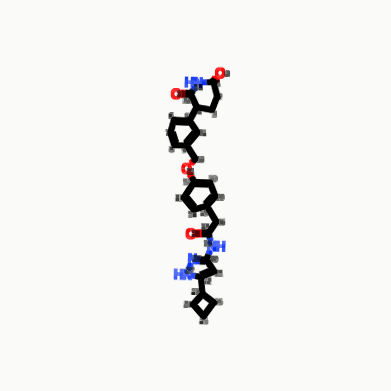 O=C1CCC(c2cccc(COc3ccc(CC(=O)Nc4cc(C5CCC5)[nH]n4)cc3)c2)C(=O)N1